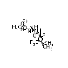 CCOc1cc(-c2ncc(NC(=O)Nc3cc(C(F)(F)F)c(CN(C)C)cc3F)cn2)cnc1C